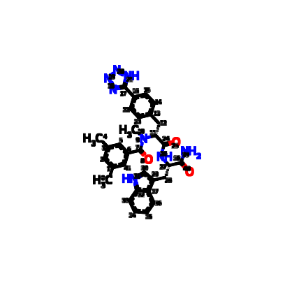 Cc1cc(C)cc(C(=O)N(C)[C@H](Cc2ccc(-c3nnn[nH]3)cc2)C(=O)N[C@@H](Cc2c[nH]c3ccccc23)C(N)=O)c1